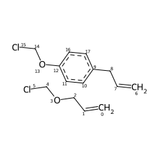 C=CCOCCl.C=CCc1ccc(OCCl)cc1